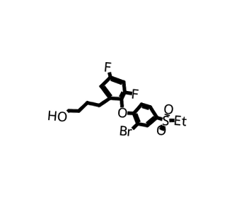 CCS(=O)(=O)c1ccc(Oc2c(F)cc(F)cc2CCCCO)c(Br)c1